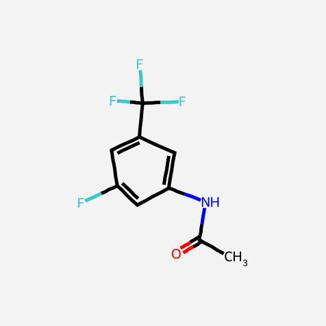 CC(=O)Nc1cc(F)cc(C(F)(F)F)c1